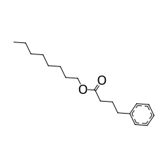 CCCCCCCCOC(=O)CCCc1ccccc1